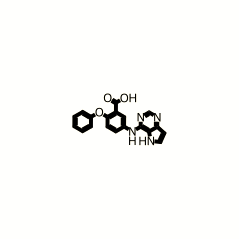 O=C(O)c1cc(Nc2ncnc3cc[nH]c23)ccc1Oc1ccccc1